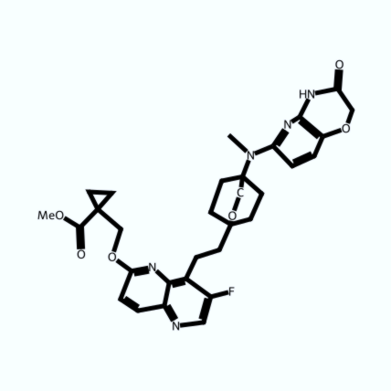 COC(=O)C1(COc2ccc3ncc(F)c(CCC45CCC(N(C)c6ccc7c(n6)NC(=O)CO7)(CC4)CO5)c3n2)CC1